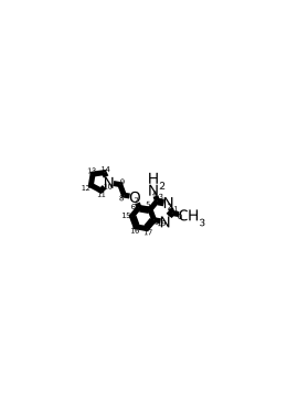 Cc1nc(N)c2c(OCCN3CCCC3)cccc2n1